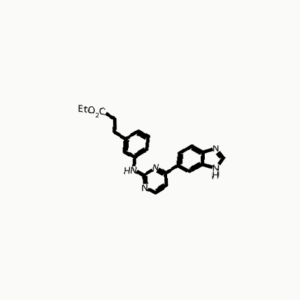 CCOC(=O)CCc1cccc(Nc2nccc(-c3ccc4nc[nH]c4c3)n2)c1